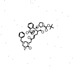 CN1CN(Cc2ccccc2)CN(CC(=O)/C=C/CC(C(=O)[C@@H]2CCCN2C(=O)OC(C)(C)C)S(=O)(=O)c2ccccc2[N+](=O)[O-])C1=O